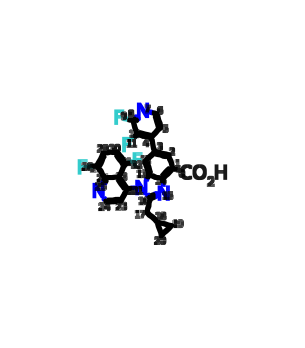 O=C(O)c1cc(-c2ccnc(F)c2F)cc2c1nc(CC1CC1)n2-c1ccnc2c(F)ccc(F)c12